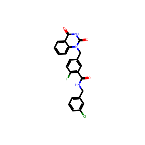 O=C(NCc1cccc(Cl)c1)c1cc(Cn2c(=O)[nH]c(=O)c3ccccc32)ccc1F